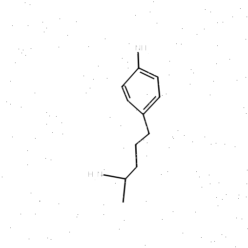 CC(N)CCCc1ccc(N)cc1